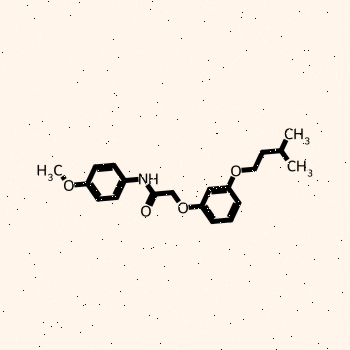 COc1ccc(NC(=O)COc2cccc(OCCC(C)C)c2)cc1